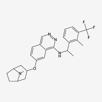 Cc1c(C(C)Nc2nncc3ccc(OC4CC5CCC(C4)N5C)cc23)cccc1C(F)(F)F